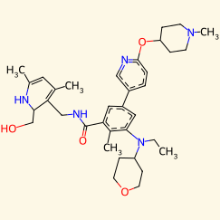 CCN(c1cc(-c2ccc(OC3CCN(C)CC3)nc2)cc(C(=O)NCC2=C(C)C=C(C)NC2CO)c1C)C1CCOCC1